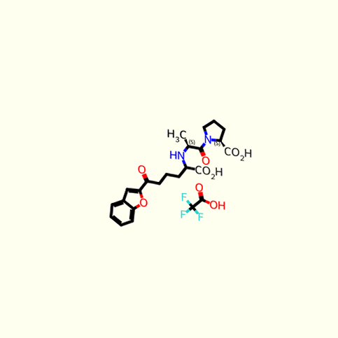 C[C@H](NC(CCCC(=O)c1cc2ccccc2o1)C(=O)O)C(=O)N1CCC[C@H]1C(=O)O.O=C(O)C(F)(F)F